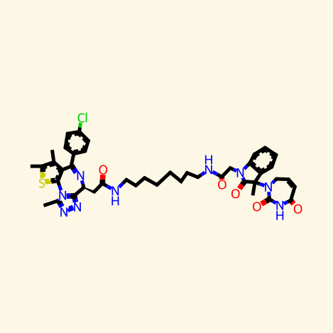 Cc1sc2c(c1C)C(c1ccc(Cl)cc1)=N[C@@H](CC(=O)NCCCCCCCCNC(=O)CN1C(=O)C(C)(N3CC=CC(=O)NC3=O)c3ccccc31)c1nnc(C)n1-2